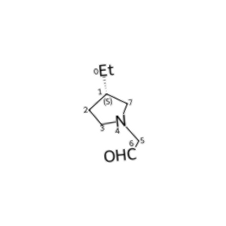 CC[C@H]1CCN(CC=O)C1